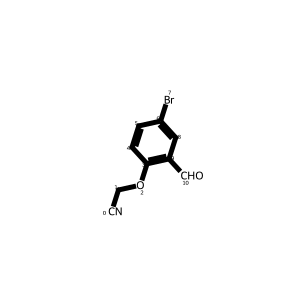 N#CCOc1ccc(Br)cc1C=O